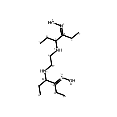 CCC(=NO)C(CC)NCCNC(CC)C(CC)=NO